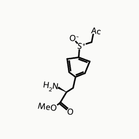 COC(=O)[C@@H](N)Cc1ccc([S+]([O-])CC(C)=O)cc1